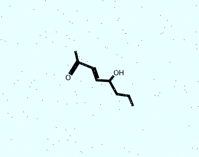 CCCC(O)/C=C/C(C)=O